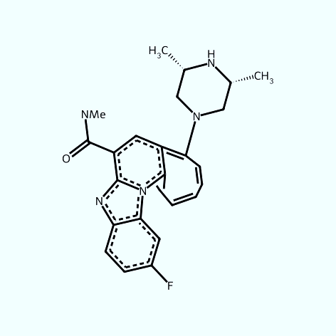 CNC(=O)c1cc2/c(n3c1nc1ccc(F)cc13)=C/C=C/C=C\C=2N1C[C@@H](C)N[C@@H](C)C1